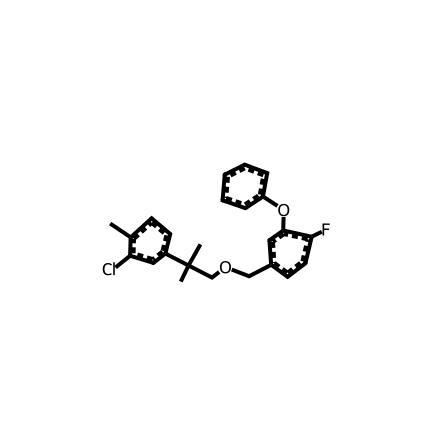 Cc1ccc(C(C)(C)COCc2ccc(F)c(Oc3ccccc3)c2)cc1Cl